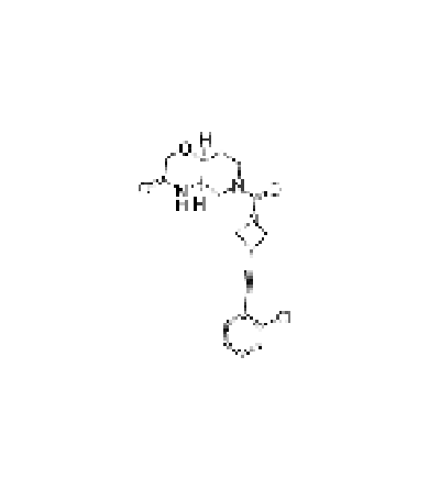 O=C1CO[C@H]2CCN(C(=O)N3CC(C#Cc4ccccc4Cl)C3)C[C@H]2N1